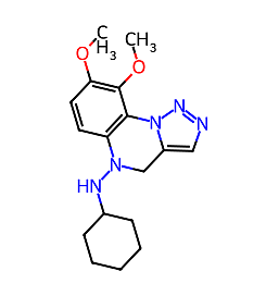 COc1ccc2c(c1OC)-n1nncc1CN2NC1CCCCC1